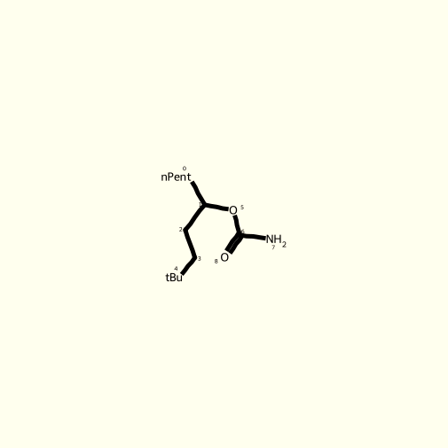 CCCCCC(CCC(C)(C)C)OC(N)=O